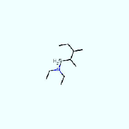 CCC(C)C(C)[SiH2]N(CC)CC